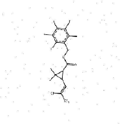 Cc1c(F)c(C)c(COC(=O)C2C(/C=C(\Cl)C(F)(F)F)C2(C)C)c(F)c1F